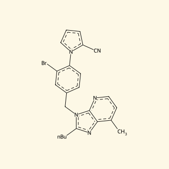 CCCCc1nc2c(C)ccnc2n1Cc1ccc(-n2cccc2C#N)c(Br)c1